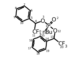 CCCCP(=O)(OC(c1ccccc1)C(F)(F)F)OC(c1ccccc1)C(F)(F)F